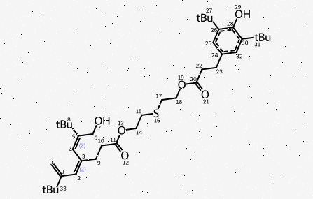 C=C(/C=C(\C=C(/CO)C(C)(C)C)CCC(=O)OCCSCCOC(=O)CCc1cc(C(C)(C)C)c(O)c(C(C)(C)C)c1)C(C)(C)C